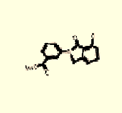 COC(=O)c1cccc(N2Cc3cccc(Cl)c3C2=O)c1